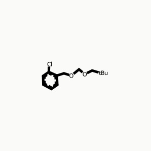 CC(C)(C)COCOCc1ccccc1Cl